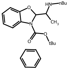 CCCCNC(C)C1Oc2ccccc2N1C(=O)OC(C)(C)C.c1ccccc1